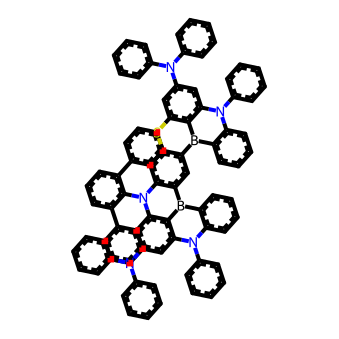 c1ccc(-c2cccc(-c3ccccc3)c2N2c3cc4c(cc3B3c5ccccc5N(c5ccccc5)c5cc(N(c6ccccc6)c6ccccc6)cc2c53)B2c3ccccc3N(c3ccccc3)c3cc(N(c5ccccc5)c5ccccc5)cc(c32)S4)cc1